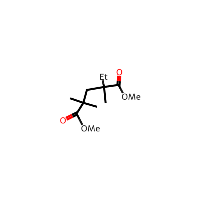 CCC(C)(CC(C)(C)C(=O)OC)C(=O)OC